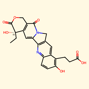 CC[C@@]1(O)C(=O)OCc2c1cc1n(c2=O)Cc2cc3c(CCC(=O)O)c(O)ccc3nc2-1